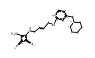 Nc1c(NCC=CCOc2cc(CN3CCCCC3)ccn2)c(=O)c1=O